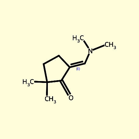 CN(C)/C=C1\CCC(C)(C)C1=O